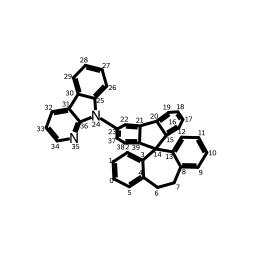 c1ccc2c(c1)CCc1ccccc1C21c2ccccc2-c2cc(-n3c4ccccc4c4cccnc43)ccc21